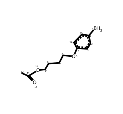 Bc1ccc(OCCCCOC(C)=O)cc1